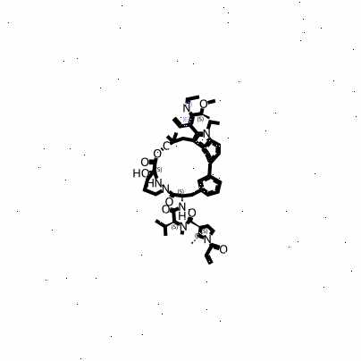 C=CC(=O)N1CC[C@H](C(=O)N(C)[C@H](C(=O)N[C@H]2Cc3cccc(c3)-c3ccc4c(c3)c(c(/C(C=C)=C(/N=C\C)[C@H](C)OC)n4CC)CC(C)(C)COC(=O)[C@@]3(O)CCCN(N3)C2=O)C(C)C)[C@H]1C